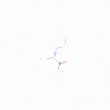 CCON=C(C#N)C(=O)OC